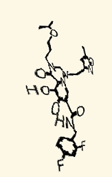 Cc1cc(CN2CN(CCCOC(C)C)C(=O)c3c(O)c(=O)c(C(=O)NCc4ccc(F)cc4F)cn32)no1